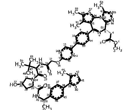 COC(=O)C[C@@H]1N=C(c2ccc(-c3cnc(OCC(=O)NC(C(=O)N4C[C@H](O)C[C@H]4C(=O)N[C@@H](C)c4ccc(-c5scnc5C)cc4)C(C)(C)C)cn3)cc2)c2c(sc(C)c2C)-n2c(C)nnc21